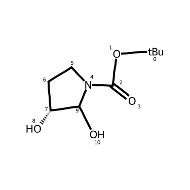 CC(C)(C)OC(=O)N1CC[C@@H](O)C1O